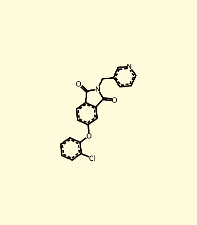 O=C1c2ccc(Oc3ccccc3Cl)cc2C(=O)N1Cc1cccnc1